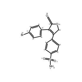 NS(=O)(=O)c1ccc(C2=C(c3ccc(Br)cc3)C(=O)OC2)cc1